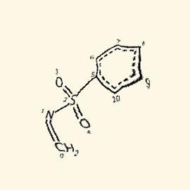 C=NS(=O)(=O)c1ccccc1